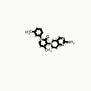 Cc1cccc(-n2ccc(C)c(N3CCc4nc(N)ncc4C3)c2=O)c1